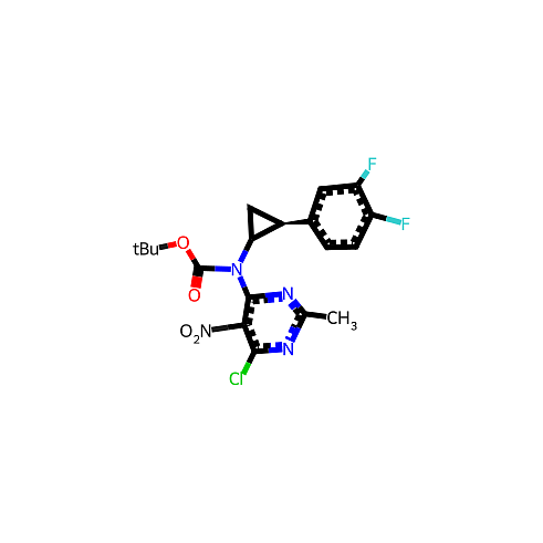 Cc1nc(Cl)c([N+](=O)[O-])c(N(C(=O)OC(C)(C)C)C2C[C@H]2c2ccc(F)c(F)c2)n1